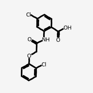 O=C(COc1ccccc1Cl)Nc1cc(Cl)ccc1C(=O)O